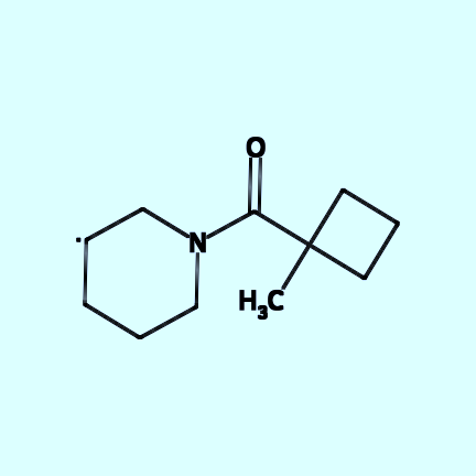 CC1(C(=O)N2C[CH]CCC2)CCC1